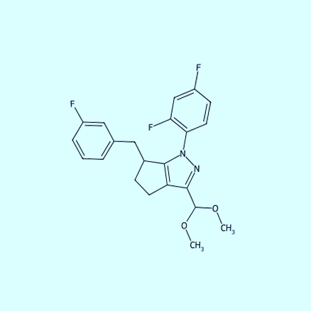 COC(OC)c1nn(-c2ccc(F)cc2F)c2c1CCC2Cc1cccc(F)c1